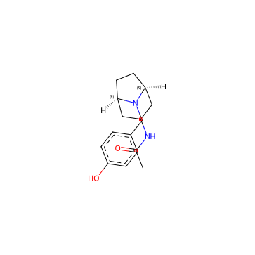 CC(=O)NC1C[C@H]2CC[C@@H](C1)N2Cc1ccc(O)cc1